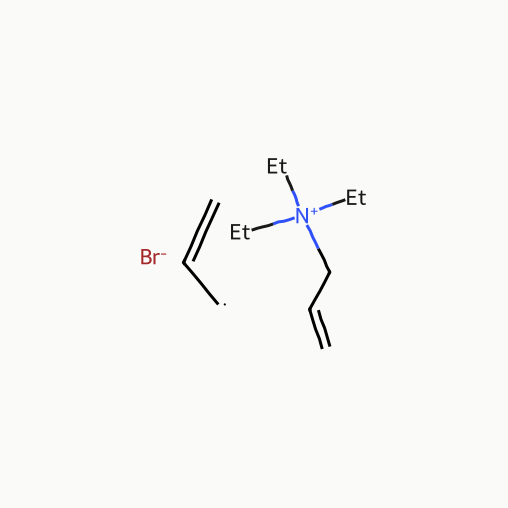 C=CC[N+](CC)(CC)CC.[Br-].[CH2]C=C